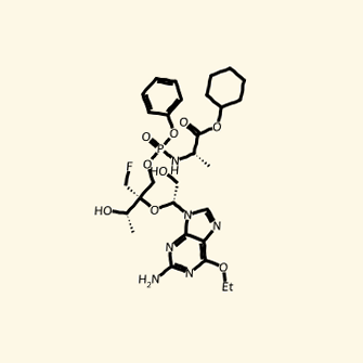 CCOc1nc(N)nc2c1ncn2[C@@H](CO)O[C@](CF)(COP(=O)(N[C@@H](C)C(=O)OC1CCCCC1)Oc1ccccc1)[C@H](C)O